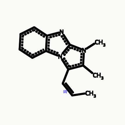 C/C=C\c1c(C)n(C)c2nc3ccccc3n12